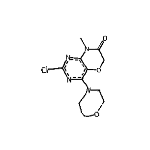 CN1C(=O)COc2c(N3CCOCC3)nc(Cl)nc21